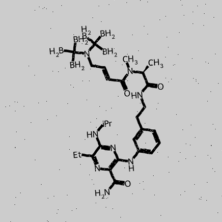 BC(B)(B)N(C/C=C/C(=O)N(C)[C@@H](C)C(=O)NCCc1cccc(Nc2nc(NC(C)C)c(CC)nc2C(N)=O)c1)C(B)(B)B